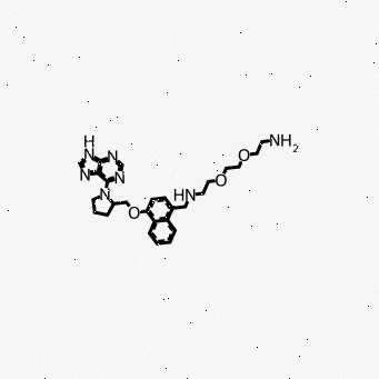 NCCOCCOCCNCc1ccc(OCC2CCCN2c2ncnc3[nH]cnc23)c2ccccc12